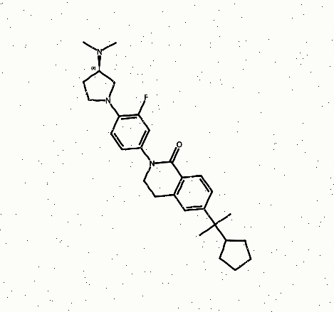 CN(C)[C@@H]1CCN(c2ccc(N3CCc4cc(C(C)(C)C5CCCC5)ccc4C3=O)cc2F)C1